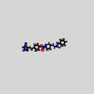 CN(CCC1CCN(C(=O)Oc2ccc(CSc3nccn3C)cc2)CC1)Cc1ccccc1